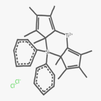 CC1=C(C)C2(C)[C](=C1C)[Ti+2][C]1=C(C)C(C)=C(C)C1(C)[Si]2(c1ccccc1)c1ccccc1.[Cl-].[Cl-]